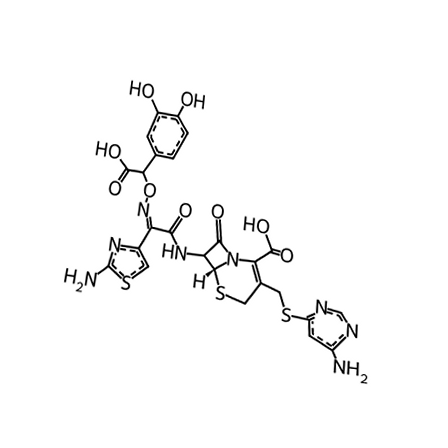 Nc1cc(SCC2=C(C(=O)O)N3C(=O)C(NC(=O)/C(=N\OC(C(=O)O)c4ccc(O)c(O)c4)c4csc(N)n4)[C@H]3SC2)ncn1